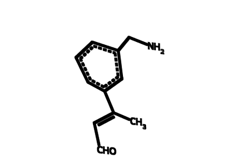 C/C(=C\C=O)c1cccc(CN)c1